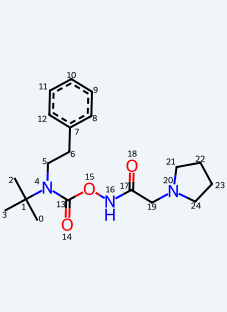 CC(C)(C)N(CCc1ccccc1)C(=O)ONC(=O)CN1CCCC1